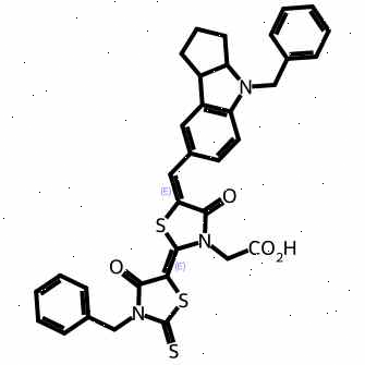 O=C(O)Cn1c(=O)/c(=C\c2ccc3c(c2)C2CCCC2N3Cc2ccccc2)s/c1=C1/SC(=S)N(Cc2ccccc2)C1=O